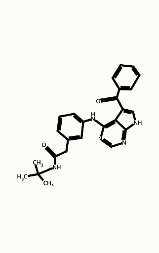 CC(C)(C)NC(=O)Cc1cccc(Nc2ncnc3[nH]cc(C(=O)c4ccccc4)c23)c1